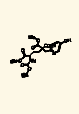 CC(C)(C)OC(=O)N[C@@H](CCC(Cc1ccc(O)cn1)(C(=O)O)C(=O)OC(C)(C)C)C(=O)OC(C)(C)C